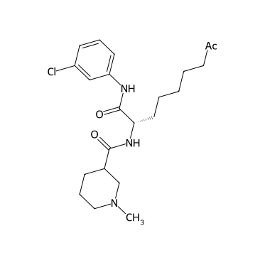 CC(=O)CCCCC[C@H](NC(=O)C1CCCN(C)C1)C(=O)Nc1cccc(Cl)c1